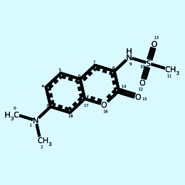 CN(C)c1ccc2cc(NS(C)(=O)=O)c(=O)oc2c1